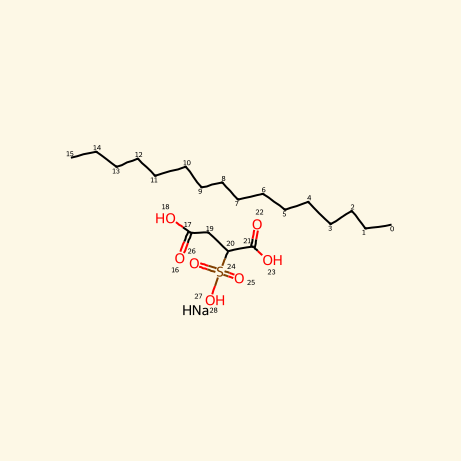 CCCCCCCCCCCCCCCC.O=C(O)CC(C(=O)O)S(=O)(=O)O.[NaH]